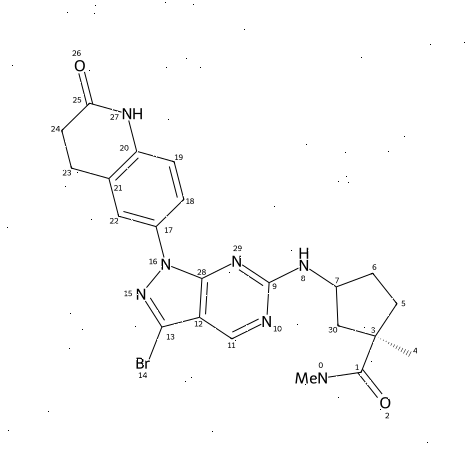 CNC(=O)[C@]1(C)CCC(Nc2ncc3c(Br)nn(-c4ccc5c(c4)CCC(=O)N5)c3n2)C1